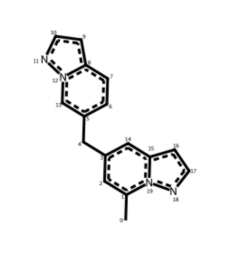 Cc1cc(Cc2ccc3ccnn3c2)cc2ccnn12